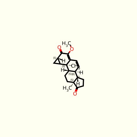 COC1=C2C=C[C@H]3[C@@H]4CCC(=O)[C@@]4(C)CC[C@@H]3[C@@]2(C)C2C[C@@H]2C1=O